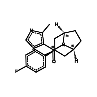 Cc1ncsc1C(=O)N1[C@@H]2CC[C@H]1C[C@@H](c1ccc(F)cc1)C2